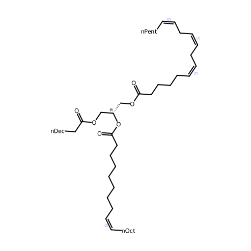 CCCCC/C=C\C/C=C\C/C=C\CCCCC(=O)OC[C@@H](COC(=O)CCCCCCCCCCC)OC(=O)CCCCCCC/C=C\CCCCCCCC